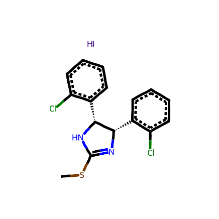 CSC1=N[C@@H](c2ccccc2Cl)[C@@H](c2ccccc2Cl)N1.I